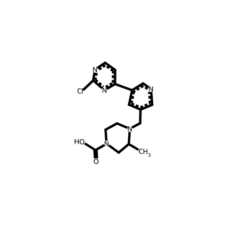 CC1CN(C(=O)O)CCN1Cc1cncc(-c2ccnc(Cl)n2)c1